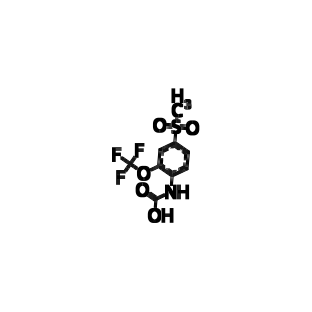 CS(=O)(=O)c1ccc(NC(=O)O)c(OC(F)(F)F)c1